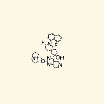 OC1(c2nc(OCC34CCCN3CCC4)nc3ccncc23)CCC2(CCC(F)N(c3cccc4cccc(F)c34)C2)C1